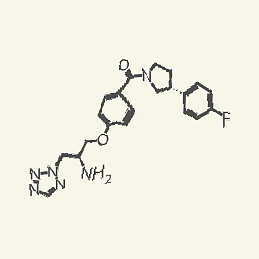 N[C@H](COc1ccc(C(=O)N2CC[C@H](c3ccc(F)cc3)C2)cc1)Cn1ncnn1